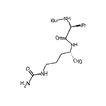 CCC(C)N[C@H](C(=O)N[C@H](C=O)CCCNC(N)=O)C(C)C